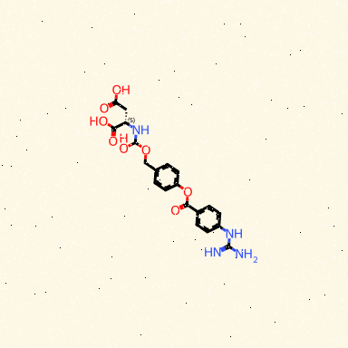 N=C(N)Nc1ccc(C(=O)Oc2ccc(COC(O)N[C@@H](CC(=O)O)C(=O)O)cc2)cc1